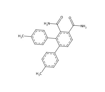 Cc1ccc(-c2ccc(C(N)=O)c(C(N)=O)c2-c2ccc(C)cc2)cc1